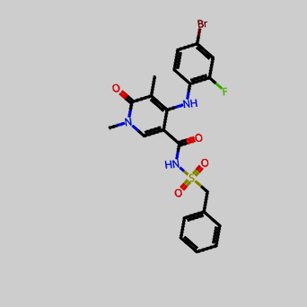 Cc1c(Nc2ccc(Br)cc2F)c(C(=O)NS(=O)(=O)Cc2ccccc2)cn(C)c1=O